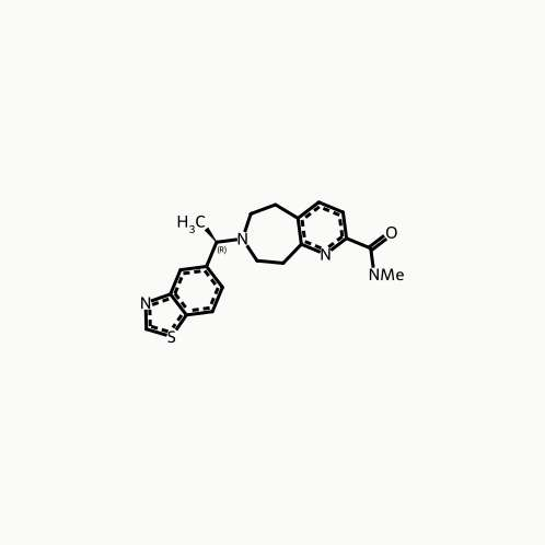 CNC(=O)c1ccc2c(n1)CCN([C@H](C)c1ccc3scnc3c1)CC2